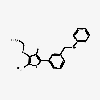 O=C(O)COc1c(C(=O)O)sc(-c2cccc(CNc3ccccc3)c2)c1Cl